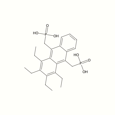 CCc1c(CC)c(CC)c2c(CP(=O)(O)O)c3ccccc3c(CP(=O)(O)O)c2c1CC